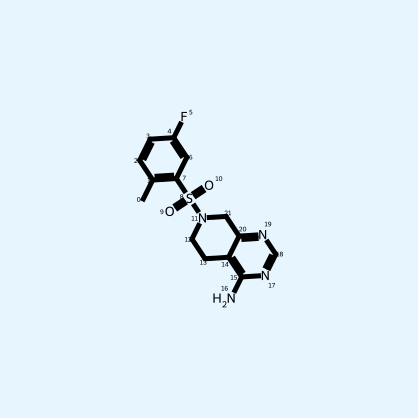 Cc1ccc(F)cc1S(=O)(=O)N1CCc2c(N)ncnc2C1